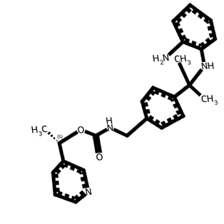 C[C@H](OC(=O)NCc1ccc(C(C)(C)Nc2ccccc2N)cc1)c1cccnc1